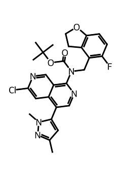 Cc1cc(-c2cnc(N(Cc3c(F)ccc4c3CCO4)C(=O)OC(C)(C)C)c3cnc(Cl)cc23)n(C)n1